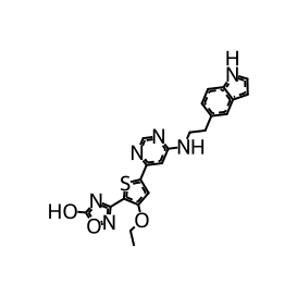 CCOc1cc(-c2cc(NCCc3ccc4[nH]ccc4c3)ncn2)sc1-c1noc(O)n1